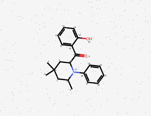 CC1CC(C)(C)CC(C(=O)c2ccccc2O)N1c1ccccc1